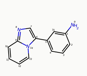 Nc1cccc(-c2cnc3ccccn23)c1